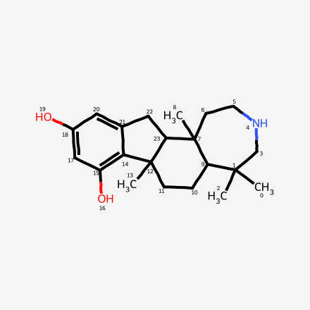 CC1(C)CNCCC2(C)C1CCC1(C)c3c(O)cc(O)cc3CC12